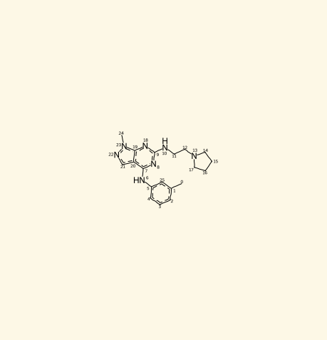 Cc1cccc(Nc2nc(NCCN3CCCC3)nc3c2cnn3C)c1